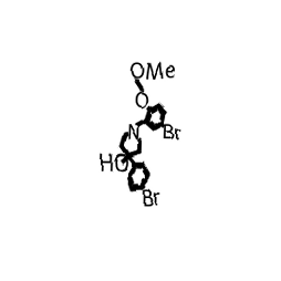 COCCOc1ccc(Br)cc1CN1CCC(O)(c2ccc(Br)cc2)CC1